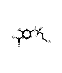 CCCS(=O)(=O)Nc1ccc(C(C)=O)c(Cl)c1